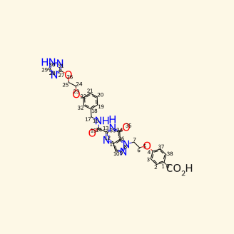 O=C(O)c1ccc(OCCn2ncc3nc(C(=O)NCc4cccc(OCCOc5nc[nH]n5)c4)[nH]c(=O)c32)cc1